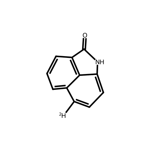 [2H]c1ccc2c3c(cccc13)C(=O)N2